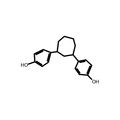 Oc1ccc(C2CCCCC(c3ccc(O)cc3)C2)cc1